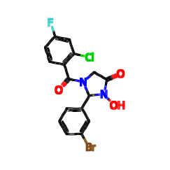 O=C1CN(C(=O)c2ccc(F)cc2Cl)C(c2cccc(Br)c2)N1O